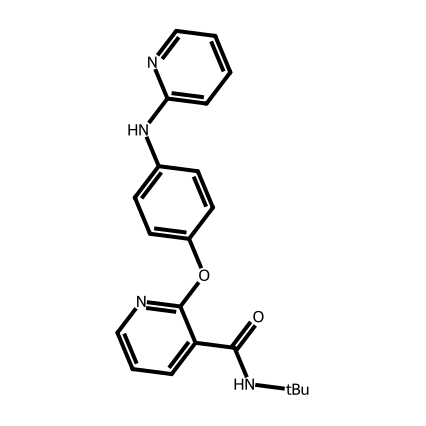 CC(C)(C)NC(=O)c1cccnc1Oc1ccc(Nc2ccccn2)cc1